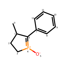 CC1CC[P+]([O-])=C1c1ccccc1